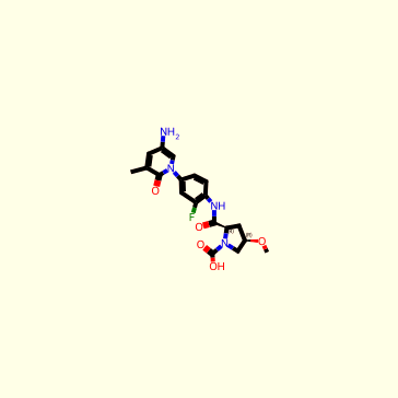 CO[C@@H]1C[C@H](C(=O)Nc2ccc(-n3cc(N)cc(C)c3=O)cc2F)N(C(=O)O)C1